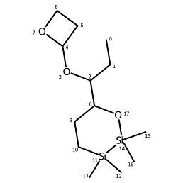 CCC(OC1CCO1)C1CC[Si](C)(C)[Si](C)(C)O1